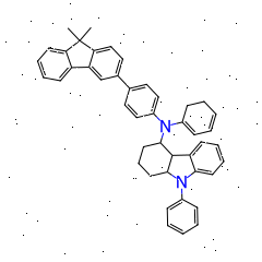 CC1(C)c2ccccc2-c2cc(-c3ccc(N(C4=CC=CCC4)C4CCCC5C4c4ccccc4N5c4ccccc4)cc3)ccc21